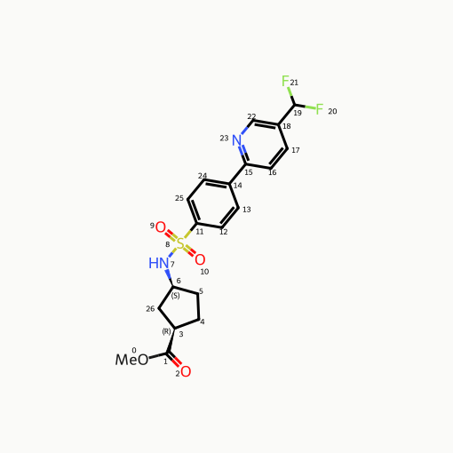 COC(=O)[C@@H]1CC[C@H](NS(=O)(=O)c2ccc(-c3ccc(C(F)F)cn3)cc2)C1